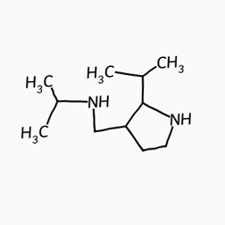 CC(C)NCC1CCNC1C(C)C